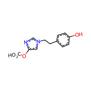 O=C(O)Oc1cn(CCc2ccc(O)cc2)cn1